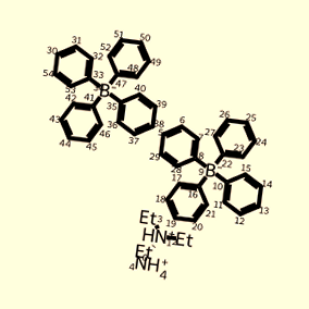 CC[NH+](CC)CC.[NH4+].c1ccc([B-](c2ccccc2)(c2ccccc2)c2ccccc2)cc1.c1ccc([B-](c2ccccc2)(c2ccccc2)c2ccccc2)cc1